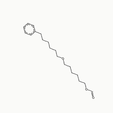 O=[C]OCCCCCCOCCCCCCc1ccccc1